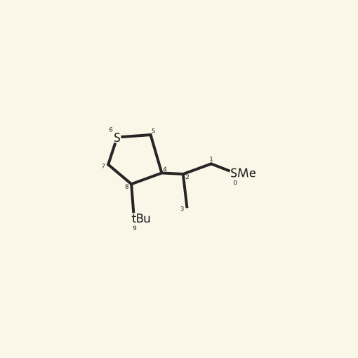 CSCC(C)C1CSCC1C(C)(C)C